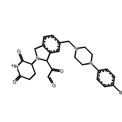 O=CC(=O)C1c2cc(CN3CCN(c4ccc(Br)cc4)CC3)ccc2CN1C1CCC(=O)NC1=O